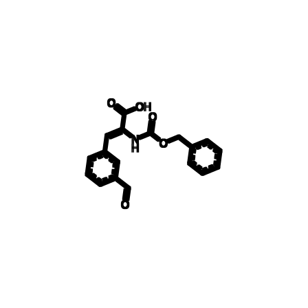 O=Cc1cccc(C=C(NC(=O)OCc2ccccc2)C(=O)O)c1